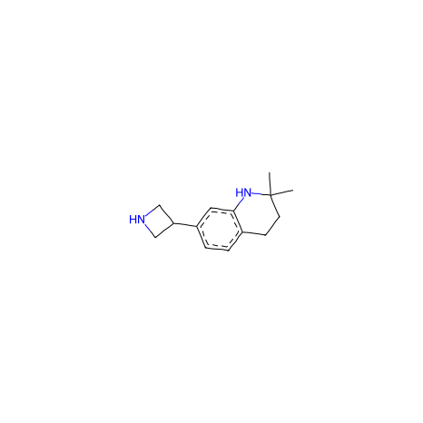 CC1(C)CCc2ccc(C3CNC3)cc2N1